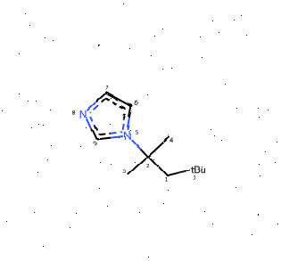 CC(C)(C)CC(C)(C)n1ccnc1